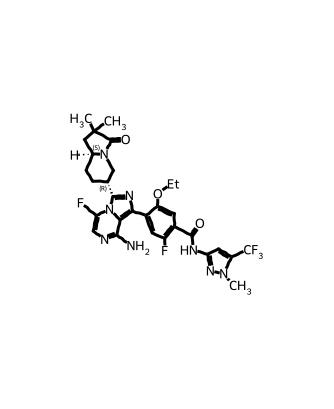 CCOc1cc(C(=O)Nc2cc(C(F)(F)F)n(C)n2)c(F)cc1-c1nc([C@@H]2CC[C@H]3CC(C)(C)C(=O)N3C2)n2c(F)cnc(N)c12